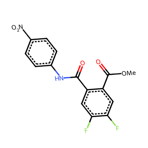 COC(=O)c1cc(F)c(F)cc1C(=O)Nc1ccc([N+](=O)[O-])cc1